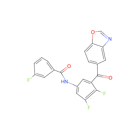 O=C(Nc1cc(F)c(F)c(C(=O)c2ccc3ocnc3c2)c1)c1cccc(F)c1